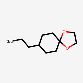 CC(C)(C)CCC1CCC2(CC1)OCCO2